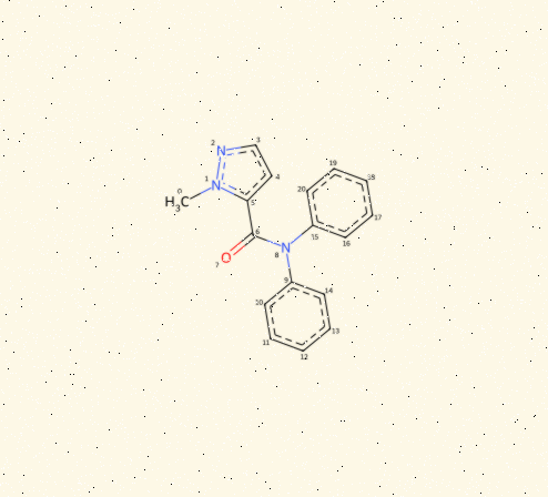 Cn1nccc1C(=O)N(c1ccccc1)c1ccccc1